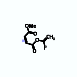 C=C(F)OC(=O)/C=C\C(=O)OC